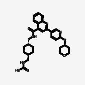 O=C(O)NC[C@H]1CC[C@H](CNC(=O)c2cc(-c3ccc(OC4CCOCC4)nc3)nc3ccccc23)CC1